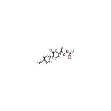 C#Cc1ccc(-c2ccc(C(=C)CCC(C)=O)cc2C)cc1